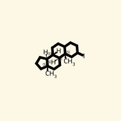 C[C@@]12CCC[C@H]1[C@@H]1CCC3CCC(I)C[C@]3(C)[C@H]1CC2